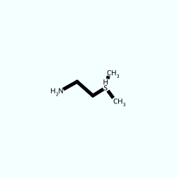 C[SH](C)CCN